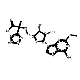 COc1nc(N)c2ncn([C@@H]3O[C@H](COC(C)(C(=O)O)c4nn[nH]n4)[C@@H](O)[C@H]3O)c2n1